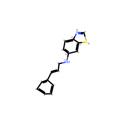 C(=Cc1ccccc1)CNc1ccc2ncsc2c1